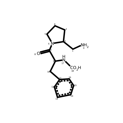 NCC1CCCN1C(=O)C(Cc1ccccc1)NC(=O)O